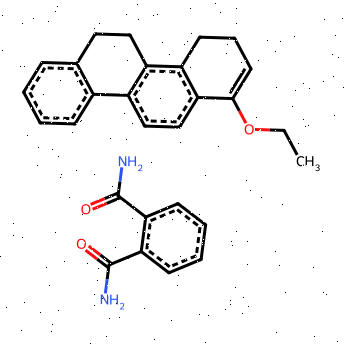 CCOC1=CCCc2c1ccc1c2CCc2ccccc2-1.NC(=O)c1ccccc1C(N)=O